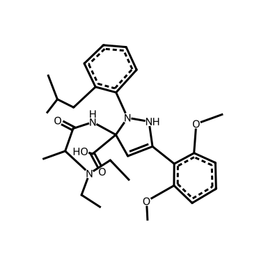 CCN(CC)C(C)C(=O)NC1(C(=O)O)C=C(c2c(OC)cccc2OC)NN1c1ccccc1CC(C)C